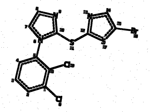 Clc1cccc(-n2ccnc2Sc2ncc(Br)s2)c1Cl